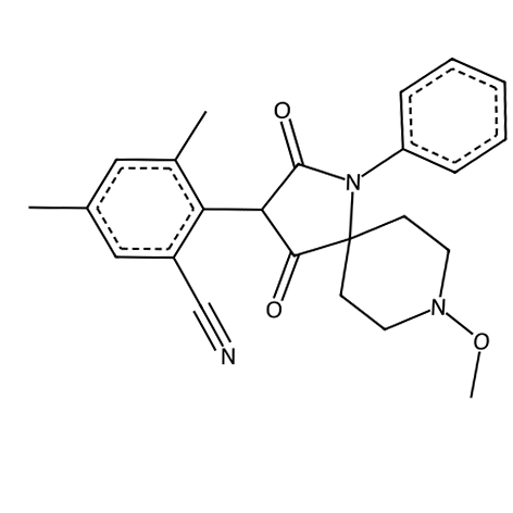 CON1CCC2(CC1)C(=O)C(c1c(C)cc(C)cc1C#N)C(=O)N2c1ccccc1